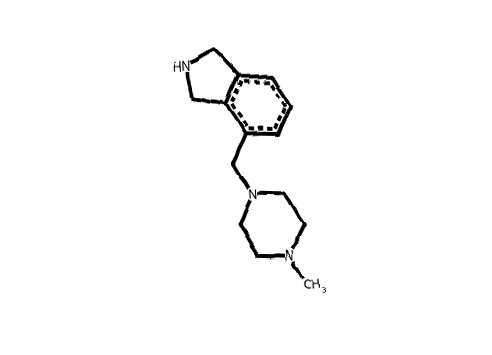 CN1CCN(Cc2cccc3c2CNC3)CC1